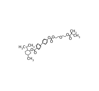 C=C(C)C(=O)OCCOCCOC(=O)Oc1ccc(-c2ccc(C(=O)OC3CC(C)CCC3C(C)C)cc2)cc1